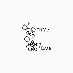 CNCc1cc(-c2ccccc2F)n(S(=O)(=O)c2cccc(N(OC=O)S(=O)(=O)N3CC[C@@H](OC)C3)c2)c1